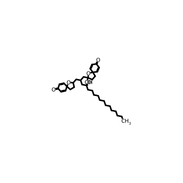 CCCCCCCCCCCCCC(=O)CC(CC1CCC2(C=CC(=O)C=C2)O1)CC1(O)CCC2(C=CC(=O)C=C2)O1